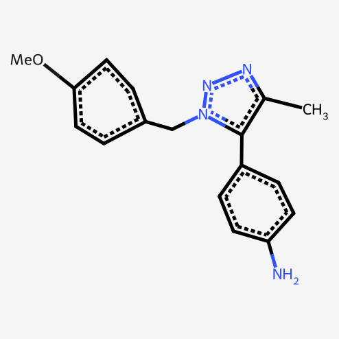 COc1ccc(Cn2nnc(C)c2-c2ccc(N)cc2)cc1